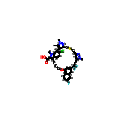 Cc1c2c(nn1C)CSCc1cc(n(C)n1)CC(F)(F)c1cc(c3ccc(F)cc3c1)OCCCc1c(C(=O)O)n(C)c3c-2c(Cl)ccc13